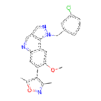 COc1cc2c(cc1-c1c(C)noc1C)ncc1cnn(Cc3cccc(Cl)c3)c12